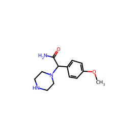 COc1ccc(C(C(N)=O)N2CCNCC2)cc1